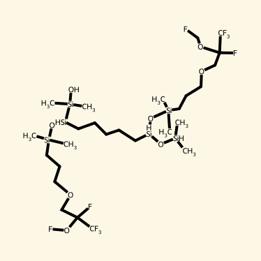 C[SiH](C)O[SiH](CCCCC[SiH](O[Si](C)(C)CCCOCC(F)(OF)C(F)(F)F)[Si](C)(C)O)O[Si](C)(C)CCCOCC(F)(OCF)C(F)(F)F